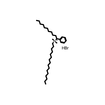 Br.CCCCCCCCCCCCCCCC[N+](C)(C)C(CCCCCCCCCC)c1ccccc1